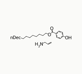 C=CCN.CCCCCCCCCCCCCCCCCCOC(=O)c1ccc(O)cc1